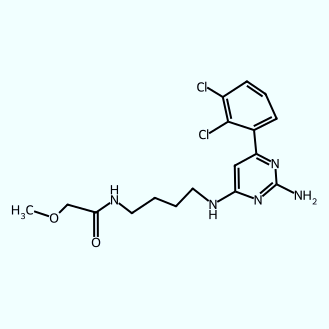 COCC(=O)NCCCCNc1cc(-c2cccc(Cl)c2Cl)nc(N)n1